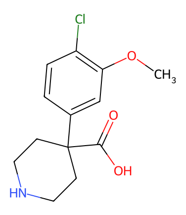 COc1cc(C2(C(=O)O)CCNCC2)ccc1Cl